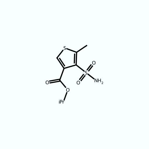 Cc1scc(C(=O)OC(C)C)c1S(N)(=O)=O